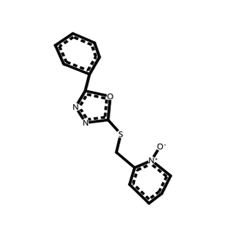 [O-][n+]1ccccc1CSc1nnc(-c2ccccc2)o1